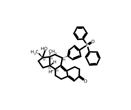 C[C@]1(O)CC[C@H]2[C@@H]3CCC4=CC(=O)CCC4=C3[C@@H](c3ccc(P(=O)(c4ccccc4)c4ccccc4)cc3)C[C@@]21C